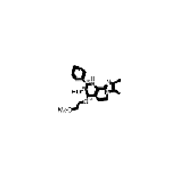 COCCO[C@H]1c2ccn3c(C)c(C)nc3c2N[C@H](c2ccccc2)[C@H]1O